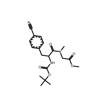 COC(=O)CN(C)C(=O)C(Cc1ccc(C#N)cc1)NC(=O)OC(C)(C)C